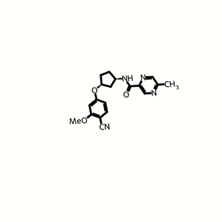 COc1cc(O[C@H]2CC[C@@H](NC(=O)c3cnc(C)cn3)C2)ccc1C#N